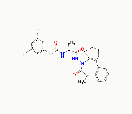 CC1C(=O)N(NC(=O)[C@H](C)NC(=O)Cc2cc(F)cc(F)c2)C2=C(CCCC2)c2ccccc21